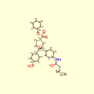 N#C[Se]CC(=O)Nc1ccc(C2=C(c3ccc(O)cc3)C3CC(S(=O)(=O)Oc4ccccc4)C2O3)cc1